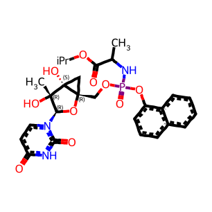 CC(C)OC(=O)C(C)NP(=O)(OC[C@]12C[C@]1(O)[C@@](C)(O)[C@H](n1ccc(=O)[nH]c1=O)O2)Oc1cccc2ccccc12